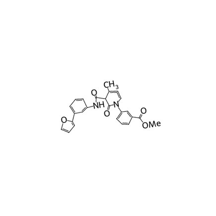 COC(=O)c1cccc(N2C=C=C(C)C(C(=O)Nc3cccc(-c4ccco4)c3)C2=O)c1